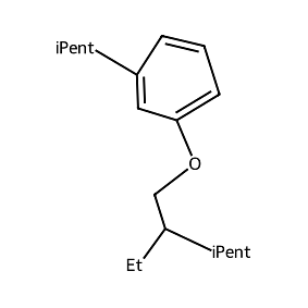 CCCC(C)c1cccc(OCC(CC)C(C)CCC)c1